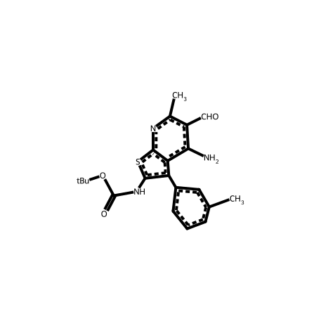 Cc1cccc(-c2c(NC(=O)OC(C)(C)C)sc3nc(C)c(C=O)c(N)c23)c1